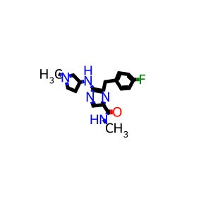 CNC(=O)c1cnc(NC2CCN(C)C2)c(Cc2ccc(F)cc2)n1